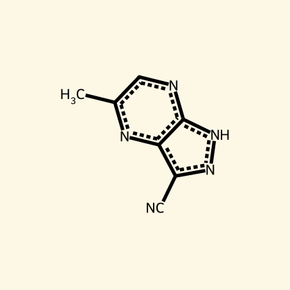 Cc1cnc2[nH]nc(C#N)c2n1